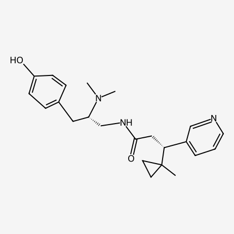 CN(C)[C@H](CNC(=O)C[C@H](c1cccnc1)C1(C)CC1)Cc1ccc(O)cc1